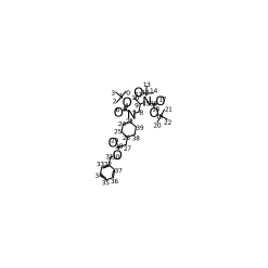 CC(C)(C)OC(=O)N(CC1COC(C)(C)N1C(=O)OC(C)(C)C)C1CCC(CC(=O)OCc2ccccc2)CC1